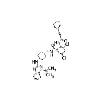 CN(C)c1nc(N[C@H]2CC[C@@H](CNC(=O)c3cc(Cl)cc(Cl)c3NC(=O)C#Cc3ccccc3)CC2)nc2ccccc12